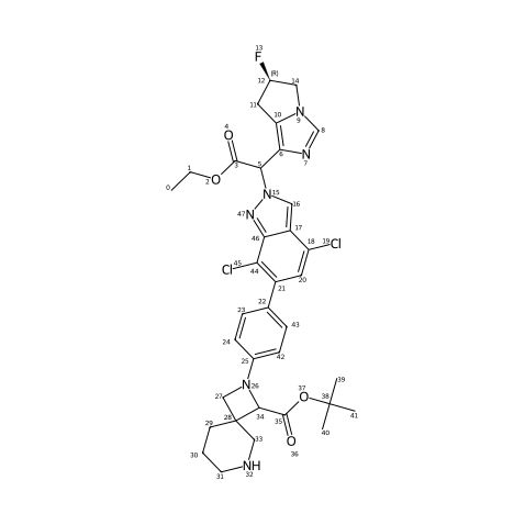 CCOC(=O)C(c1ncn2c1C[C@@H](F)C2)n1cc2c(Cl)cc(-c3ccc(N4CC5(CCCNC5)C4C(=O)OC(C)(C)C)cc3)c(Cl)c2n1